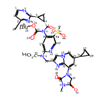 Cc1ccnc([C@H]2C[C@@H]2C(=O)N(C(=O)OC(C)(C)C)c2cc(N(Cc3cn4cc(C5CC5)cc(N5CC(=O)N(C)C5=O)c4n3)C(=O)O)ncc2S(C)(=O)=O)n1